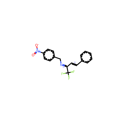 O=[N+]([O-])c1ccc(C/N=C(\C=C\c2ccccc2)C(F)(F)F)cc1